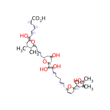 C/C(=C\[C@@H](C)[C@@H](C)O)[C@H]1CC=C[C@H](C/C=C/CC/C=C/[C@H](O)[C@@H](O)[C@H]2C[C@H](O)CC(C/C=C/C[C@@H]3O[C@H]([C@H](O)/C=C/C=C\C=C/C(=O)O)CC(C)C3C)O2)O1